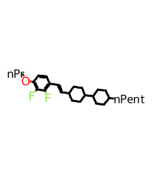 CCCCCC1CCC(C2CCC(/C=C/c3ccc(OCCC)c(F)c3F)CC2)CC1